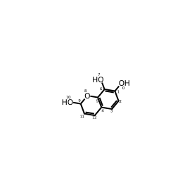 Oc1ccc2c(c1O)OC(O)C=C2